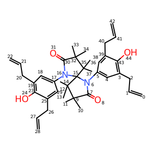 C=CCc1cc(N2C(=O)C(C)(C)C(C)(C)C23N(c2cc(CC=C)c(O)c(CC=C)c2)C(=O)C(C)(C)C3(C)C)cc(CC=C)c1O